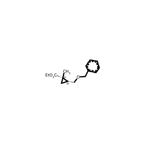 CCOC(=O)[C@@]1(C)C[C@H]1COCc1ccccc1